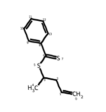 C=CCC(C)SC(=S)c1ccccc1